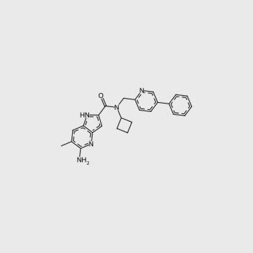 Cc1cc2[nH]c(C(=O)N(Cc3ccc(-c4ccccc4)cn3)C3CCC3)cc2nc1N